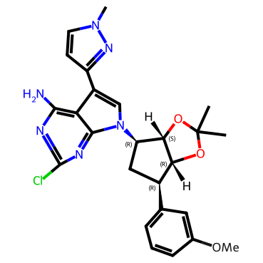 COc1cccc([C@H]2C[C@@H](n3cc(-c4ccn(C)n4)c4c(N)nc(Cl)nc43)[C@@H]3OC(C)(C)O[C@@H]32)c1